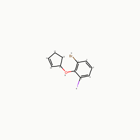 Brc1cccc(I)c1OC1C=CCC1